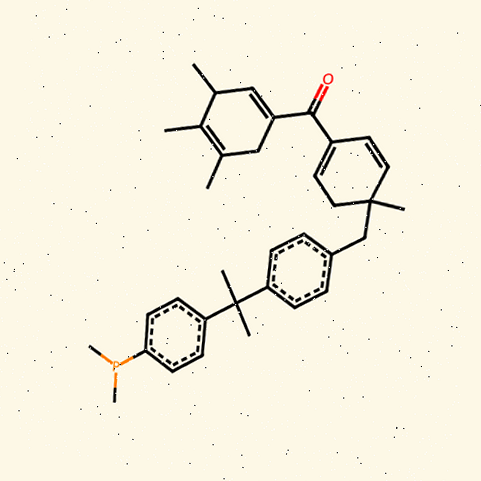 CC1=C(C)C(C)C=C(C(=O)C2=CCC(C)(Cc3ccc(C(C)(C)c4ccc(P(C)C)cc4)cc3)C=C2)C1